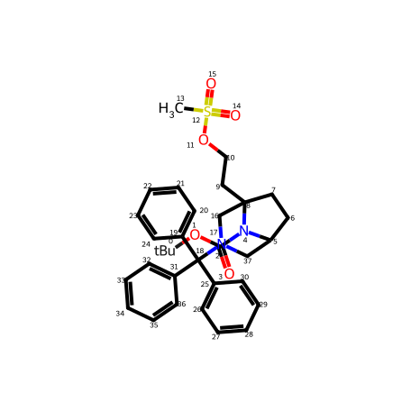 CC(C)(C)OC(=O)N1C2CCC1(CCOS(C)(=O)=O)CN(C(c1ccccc1)(c1ccccc1)c1ccccc1)C2